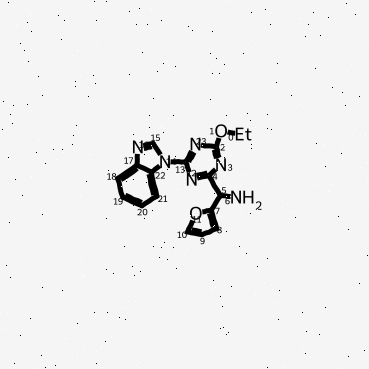 CCOc1nc(C(N)c2ccco2)nc(-n2cnc3ccccc32)n1